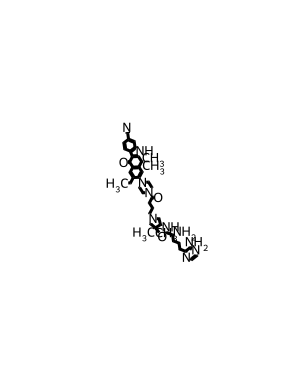 CCc1cc2c(cc1N1CCN(C(=O)CCCN3C[C@H](NC(=O)[C@H](N)CCCc4nccnc4N)C(C)(C)C3)CC1)C(C)(C)c1[nH]c3cc(C#N)ccc3c1C2=O